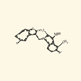 CNc1c(C(=O)O)n(Cc2csc3ccc(F)cc23)c2ccc(F)c(C)c12